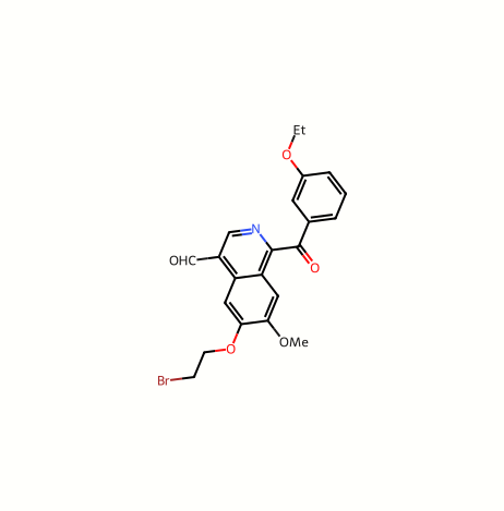 CCOc1cccc(C(=O)c2ncc(C=O)c3cc(OCCBr)c(OC)cc23)c1